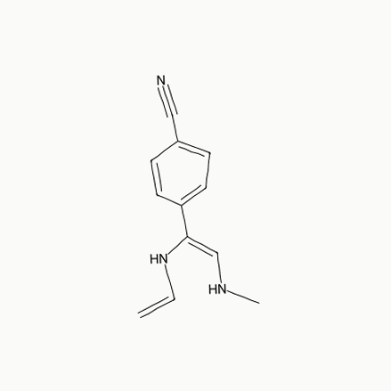 C=CN/C(=C\NC)c1ccc(C#N)cc1